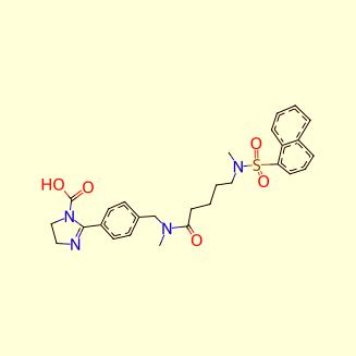 CN(Cc1ccc(C2=NCCN2C(=O)O)cc1)C(=O)CCCCN(C)S(=O)(=O)c1cccc2ccccc12